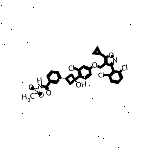 CS(=O)(=O)NC(=O)c1cccc([C@H]2C[C@@](O)(c3ccc(OCc4c(-c5c(Cl)cccc5Cl)noc4C4CC4)cc3Cl)C2)c1